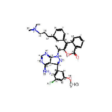 CC(c1oc(=O)c2ccccc2c1-c1cccc(CCCN(C)C)c1)n1nc(-c2cc(F)cc(OC=O)c2)c2c(N)ncnc21